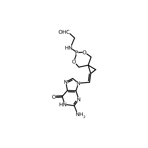 Nc1nc2c(ncn2/C=C2/CC23COP(NCC=O)OC3)c(=O)[nH]1